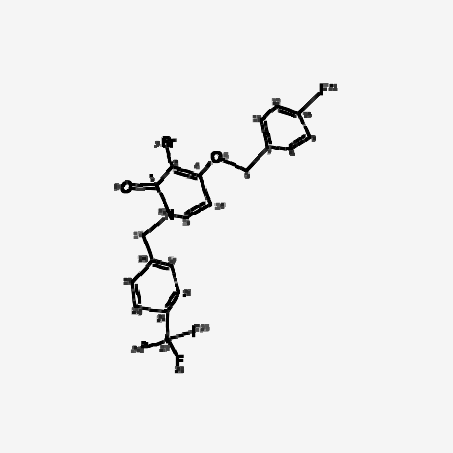 O=c1c(Br)c(OCc2ccc(F)cc2)ccn1Cc1ccc(C(F)(F)F)cc1